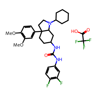 COc1ccc(C23CCC(NC(=O)Nc4ccc(F)c(F)c4)CC2N(C2CCCCC2)CC3)cc1OC.O=C(O)C(F)(F)F